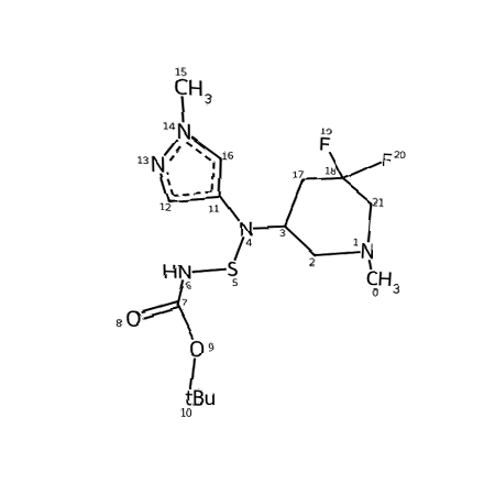 CN1CC(N(SNC(=O)OC(C)(C)C)c2cnn(C)c2)CC(F)(F)C1